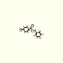 O=C1C=CC(C(=O)OCc2ccccc2)=CC1